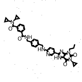 CCCn1c(=O)n(C2CC2)c(=O)c2[nH]c(-c3ccc(NCc4ccc(CNC(=O)c5cccc(C(=O)N(C6CC6)C6CC6)c5)cc4)nc3)nc21